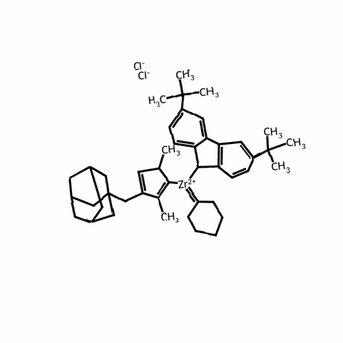 CC1=[C]([Zr+2](=[C]2CCCCC2)[CH]2c3ccc(C(C)(C)C)cc3-c3cc(C(C)(C)C)ccc32)C(C)C=C1CC12CC3CC(CC(C3)C1)C2.[Cl-].[Cl-]